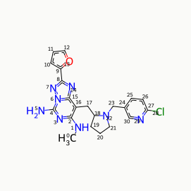 CNc1nc(N)n2nc(-c3ccco3)nc2c1CC1CCCN1Cc1ccc(Cl)nc1